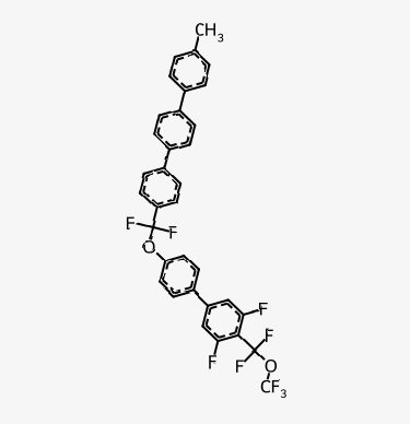 Cc1ccc(-c2ccc(-c3ccc(C(F)(F)Oc4ccc(-c5cc(F)c(C(F)(F)OC(F)(F)F)c(F)c5)cc4)cc3)cc2)cc1